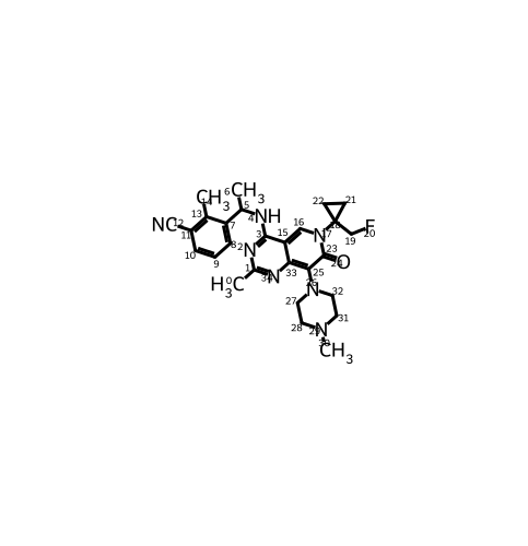 Cc1nc(NC(C)c2cccc(C#N)c2C)c2cn(C3(CF)CC3)c(=O)c(N3CCN(C)CC3)c2n1